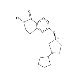 CCN1CCc2nc(O[C@H]3CCN(C4CCCC4)C3)ccc2C1=O